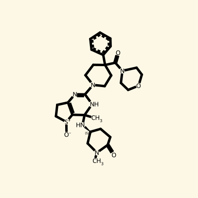 CN1C[C@@H](NC2(C)NC(N3CCC(C(=O)N4CCOCC4)(c4ccccc4)CC3)=NC3=C2[S+]([O-])CC3)CCC1=O